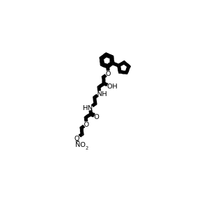 O=C(COCCO[N+](=O)[O-])NCCNCC(O)COc1ccccc1C1CCCC1